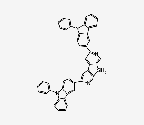 c1ccc(-n2c3ccccc3c3cc(-c4cc5c(cn4)[SiH2]c4cnc(-c6ccc7c(c6)c6ccccc6n7-c6ccccc6)cc4-5)ccc32)cc1